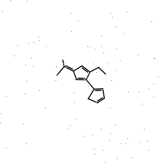 CCC1=CC(=C(C)C)[C]=C1C1=CC=CC1